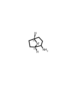 CN1[C@H]2CCC(N)[C@@H]1CC2